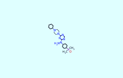 CP(C)(=O)c1ccc(N(N)c2ncnc(N3CCN(c4ccccc4)CC3)n2)cc1